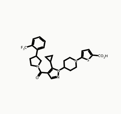 O=C(O)c1ccc(N2CCC(n3ncc(C(=O)N4CCC(c5ccccc5C(F)(F)F)C4)c3C3CC3)CC2)s1